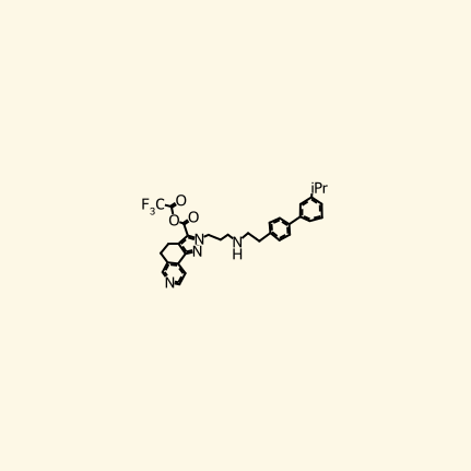 CC(C)c1cccc(-c2ccc(CCNCCCn3nc4c(c3C(=O)OC(=O)C(F)(F)F)CCc3cnccc3-4)cc2)c1